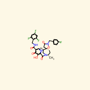 C[C@H]1CC[C@@]2(CC(=O)N(Cc3ccc(F)cc3)O2)[C@H]2CN1C(=O)c1c(O)c(=O)c(C(=O)NCc3c(F)cc(F)cc3F)cn12